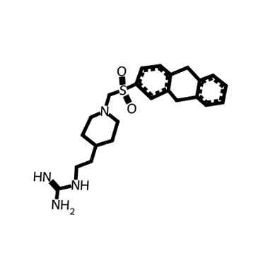 N=C(N)NCCC1CCN(CS(=O)(=O)c2ccc3c(c2)Cc2ccccc2C3)CC1